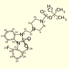 CC(C)(C)OC(=O)N1CCN(CCN2c3ccccc3N(c3c(F)cccc3F)S2(=O)=O)CC1